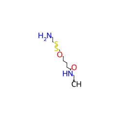 C#CCNC(=O)CCCCOCSSCCN